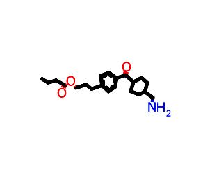 CCCC(=O)OCCCc1ccc(C(=O)C2CCC(CN)CC2)cc1